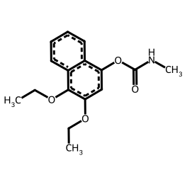 CCOc1cc(OC(=O)NC)c2ccccc2c1OCC